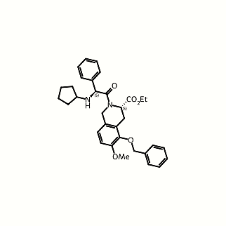 CCOC(=O)[C@@H]1Cc2c(ccc(OC)c2OCc2ccccc2)CN1C(=O)[C@@H](NC1CCCC1)c1ccccc1